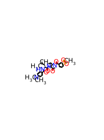 CC(C)C[C@H](NC(=O)c1ccc(N(C)C)cc1)C(=O)N1CCC2C1C(=O)CN2C(=O)c1cccc(S(C)(=O)=O)c1